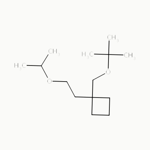 CC(C)OCCC1(COC(C)(C)C)CCC1